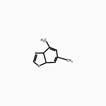 CC1=CC2SC=NC2C(C)=C1